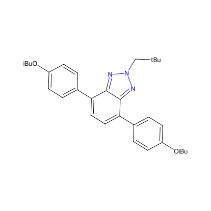 CC(C)COc1ccc(-c2ccc(-c3ccc(OCC(C)C)cc3)c3nn(CC(C)(C)C)nc23)cc1